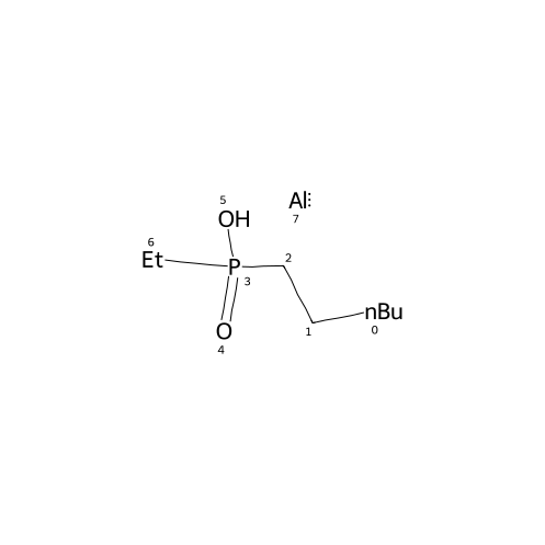 CCCCCCP(=O)(O)CC.[Al]